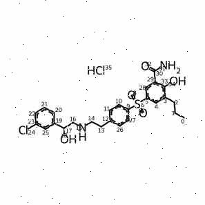 CCCc1cc(S(=O)(=O)c2ccc(CCNC[C@@H](O)c3cccc(Cl)c3)cc2)cc(C(N)=O)c1O.Cl